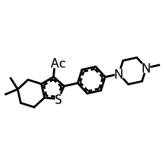 CC(=O)c1c(-c2ccc(N3CCN(C)CC3)cc2)sc2c1CC(C)(C)CC2